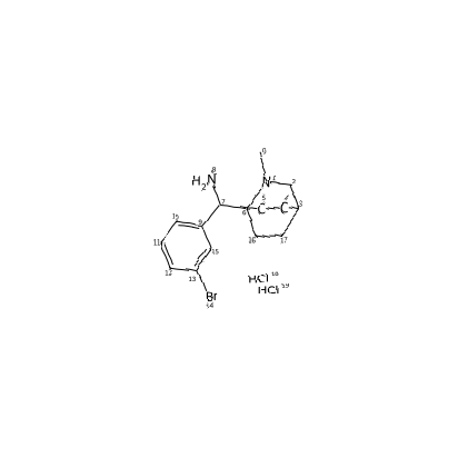 CN1CC2CCC1(C(N)c1cccc(Br)c1)CC2.Cl.Cl